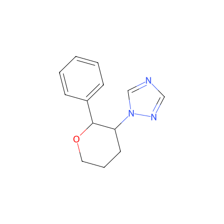 c1ccc(C2OCCCC2n2cncn2)cc1